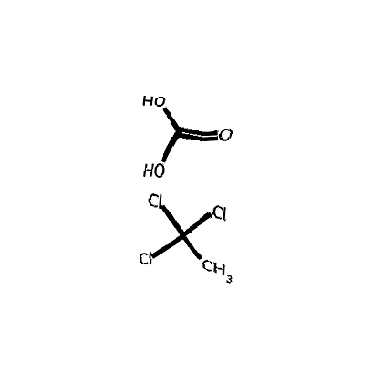 CC(Cl)(Cl)Cl.O=C(O)O